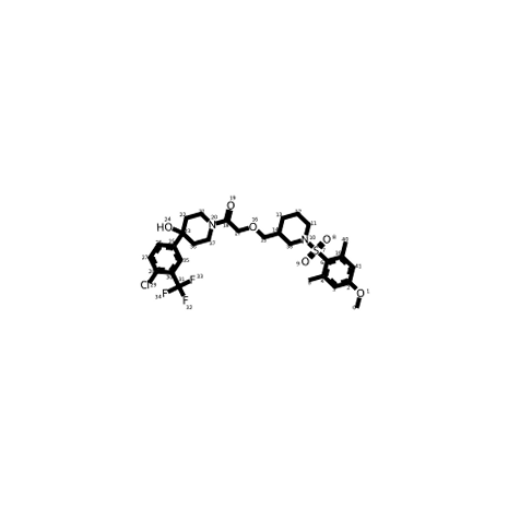 COc1cc(C)c(S(=O)(=O)N2CCCC(COCC(=O)N3CCC(O)(c4ccc(Cl)c(C(F)(F)F)c4)CC3)C2)c(C)c1